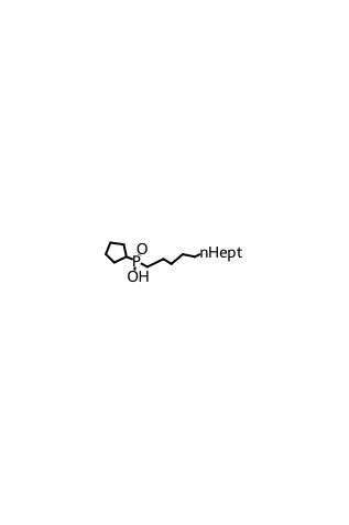 CCCCCCCCCCCCP(=O)(O)C1CCCC1